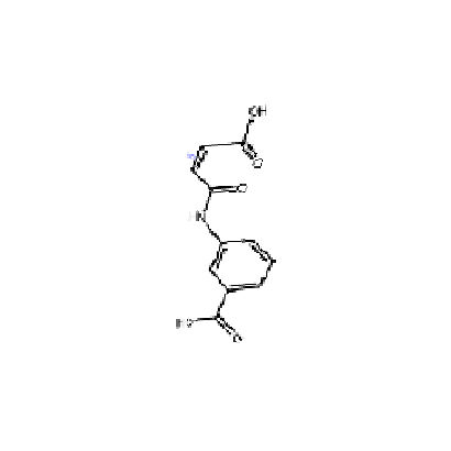 O=C(O)/C=C\C(=O)Nc1cccc(C(=O)O)c1